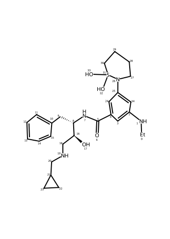 CCNc1cc(C(=O)N[C@@H](Cc2ccccc2)[C@@H](O)CNCC2CC2)cc(N2CCCCS2(O)O)c1